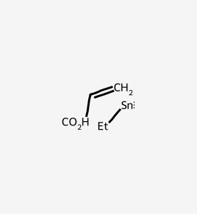 C=CC(=O)O.C[CH2][Sn]